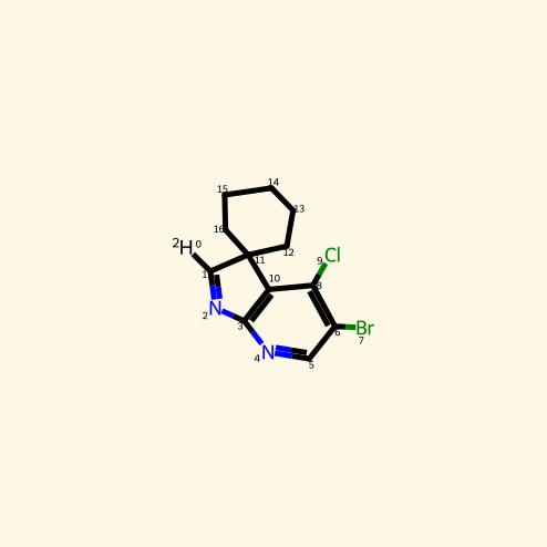 [2H]C1=Nc2ncc(Br)c(Cl)c2C12CCCCC2